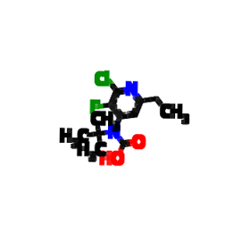 CCc1cc(N(C(=O)O)C(C)(C)C)c(F)c(Cl)n1